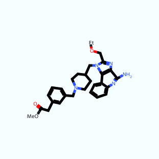 CCOCc1nc2c(N)nc3ccccc3c2n1CC1CCN(Cc2cccc(CC(=O)OC)c2)CC1